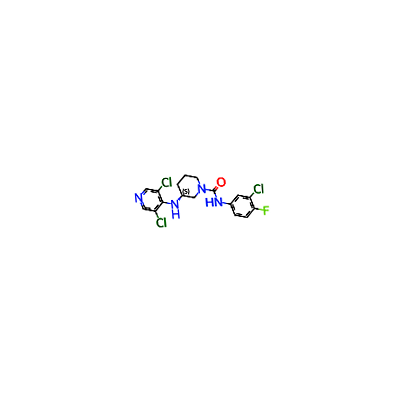 O=C(Nc1ccc(F)c(Cl)c1)N1CCC[C@H](Nc2c(Cl)cncc2Cl)C1